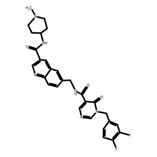 CN1CCC(NC(=O)c2cnc3ccc(CNC(=O)c4cncn(Cc5ccc(F)c(F)c5)c4=O)cc3c2)CC1